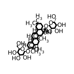 CC1(C)CC[C@]2(C(=O)O[C@@H]3O[C@H](CO)[C@@H](O)[C@H](O)[C@H]3O)[C@H](O)C[C@]3(C)C(=CC[C@@H]4[C@@]5(C)CC[C@H](O[C@@H]6O[C@H](CO)[C@@H](O)[C@H](O)[C@H]6O)C(C)(C)[C@@H]5CC[C@]43C)[C@@H]2C1